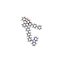 c1ccc(-c2ccc(-c3cccc(N(c4ccc(-c5ccc(-c6cccc(-n7c8ccccc8c8ccccc87)c6)cc5)cc4)c4ccccc4-c4cccc5oc6ccccc6c45)c3)cc2)cc1